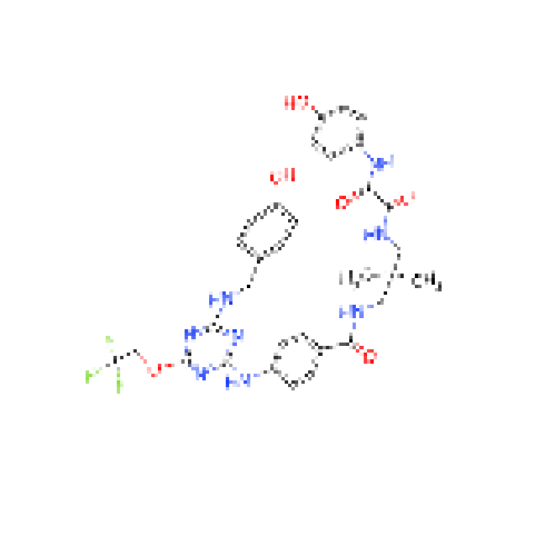 CC(C)(CNC(=O)C(=O)Nc1ccc(O)cc1)CNC(=O)c1ccc(Nc2nc(NCc3ccc(O)cc3)nc(OCC(F)(F)F)n2)cc1